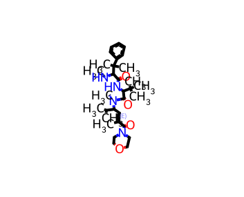 CNC(C(=O)NC(C(=O)N(C)C(/C=C(\C)C(=O)N1CCOCC1)C(C)C)C(C)(C)C)C(C)(C)c1ccccc1